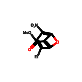 CCc1cc([N+](=O)[O-])c2c(C(=O)OC)c1O2